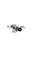 CCOC(=O)c1c([N+](=O)[O-])cccc1S(=O)(=O)NCCN(C)C.Cl